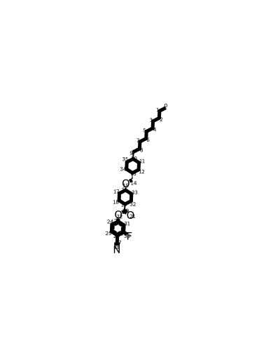 CCCCCCCCCC[C@H]1CC[C@H](CO[C@H]2CC[C@H](C(=O)Oc3ccc(C#N)c(F)c3)CC2)CC1